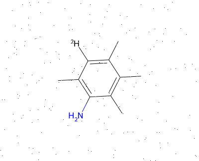 [2H]c1c(C)c(C)c(C)c(N)c1C